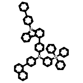 c1ccc(-c2ccc(-n3c4ccccc4c4c(-c5ccc(N(c6ccc(-c7cccc8ccccc78)cc6)c6cccc([Si](c7ccccc7)(c7ccccc7)c7ccccc7)c6)cc5)cccc43)cc2)cc1